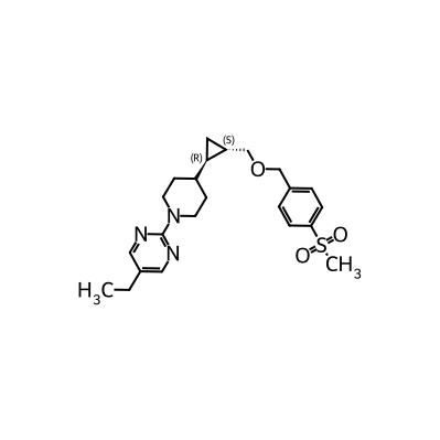 CCc1cnc(N2CCC([C@H]3C[C@@H]3COCc3ccc(S(C)(=O)=O)cc3)CC2)nc1